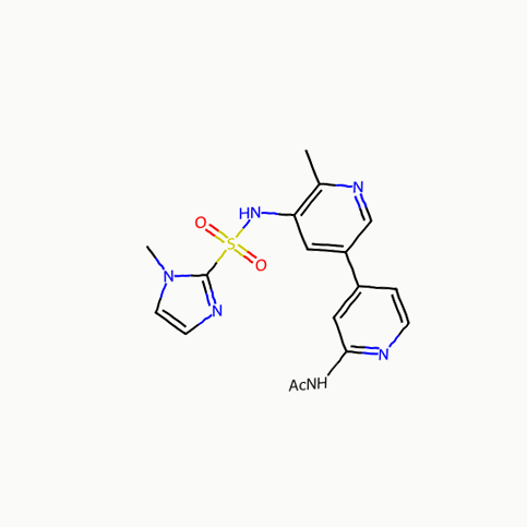 CC(=O)Nc1cc(-c2cnc(C)c(NS(=O)(=O)c3nccn3C)c2)ccn1